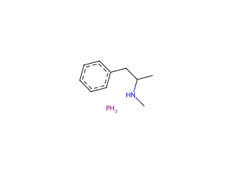 CNC(C)Cc1ccccc1.P